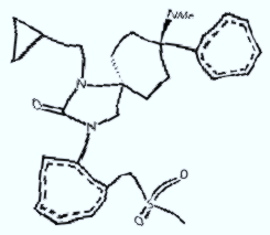 CN[C@]1(c2ccccc2)CC[C@]2(CC1)CN(c1ccccc1CS(C)(=O)=O)C(=O)N2CC1CC1